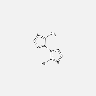 Cc1nccn1-n1ccnc1S